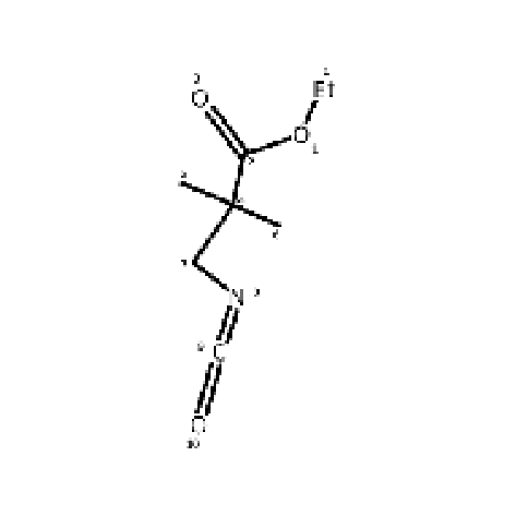 CCOC(=O)C(C)(C)CN=C=O